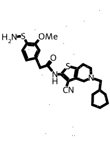 COc1cc(CC(=O)Nc2sc3c(c2C#N)CN(CC2CCCCC2)CC3)ccc1SN